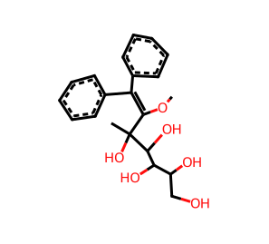 COC(=C(c1ccccc1)c1ccccc1)C(C)(O)C(O)C(O)C(O)CO